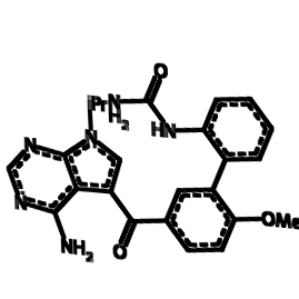 COc1ccc(C(=O)c2cn(C(C)C)c3ncnc(N)c23)cc1-c1ccccc1NC(N)=O